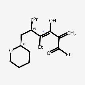 C=C(C(=O)CC)/C(O)=C(\CC)[C@H](CCC)C[C@H]1CCCCO1